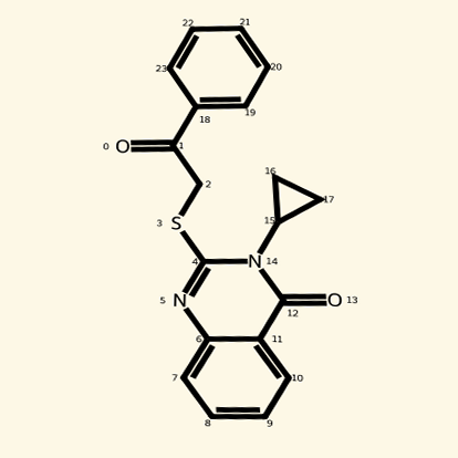 O=C(CSc1nc2ccccc2c(=O)n1C1CC1)c1ccccc1